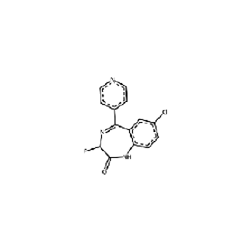 O=C1Nc2ccc(Cl)cc2C(c2ccncc2)=NC1F